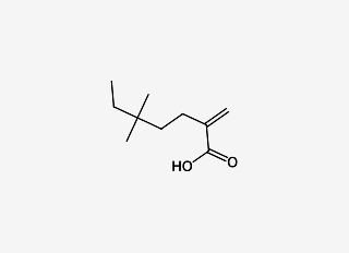 C=C(CCC(C)(C)CC)C(=O)O